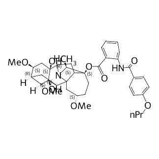 CCCOc1ccc(C(=O)Nc2ccccc2C(=O)O[C@@]23CC[C@H](OC)CC45C2C[C@@H](N4[C@H]3C)[C@@]2(O)C[C@H](OC)[C@H]3CC5[C@]2(O)[C@H]3OC)cc1